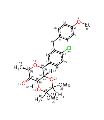 CCOc1ccc(Cc2cc([C@@H]3O[C@H](C)C(=O)[C@@H]4OC(C)(OC)C(C)(OC)O[C@H]43)ccc2Cl)cc1